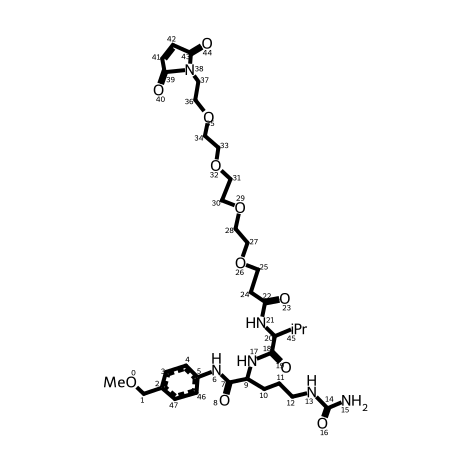 COCc1ccc(NC(=O)C(CCCNC(N)=O)NC(=O)C(NC(=O)CCOCCOCCOCCOCCN2C(=O)C=CC2=O)C(C)C)cc1